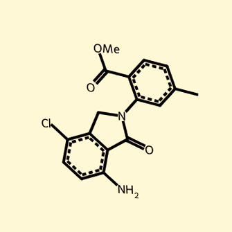 COC(=O)c1ccc(C)cc1N1Cc2c(Cl)ccc(N)c2C1=O